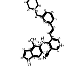 Cc1c(Nc2c(C#N)cncc2/C=C/c2cccc(CN3CCSCC3)n2)ccc2[nH]ccc12